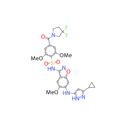 COc1cc2c(NS(=O)(=O)c3c(OC)cc(C(=O)N4CCC(F)(F)C4)cc3OC)noc2cc1Nc1cc(C2CC2)n[nH]1